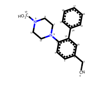 N#CCc1ccc(N2CCN(C(=O)O)CC2)c(-c2ccccc2)c1